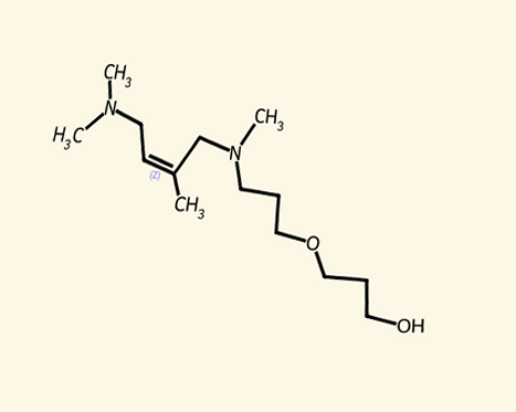 C/C(=C/CN(C)C)CN(C)CCCOCCCO